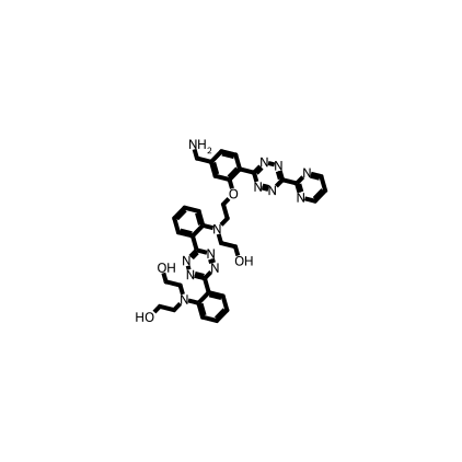 NCc1ccc(-c2nnc(-c3ncccn3)nn2)c(OCCN(CCO)c2ccccc2-c2nnc(-c3ccccc3N(CCO)CCO)nn2)c1